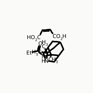 CCC(=O)NC1(C)C2CC3CC1CN(C2)C3(C)C.O=C(O)/C=C\C(=O)O